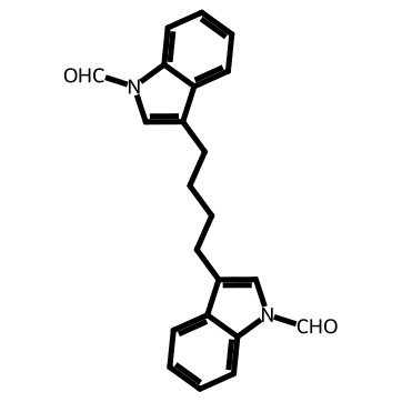 O=Cn1cc(CCCCc2cn(C=O)c3ccccc23)c2ccccc21